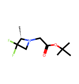 C[C@@H]1N(CC(=O)OC(C)(C)C)CC1(F)F